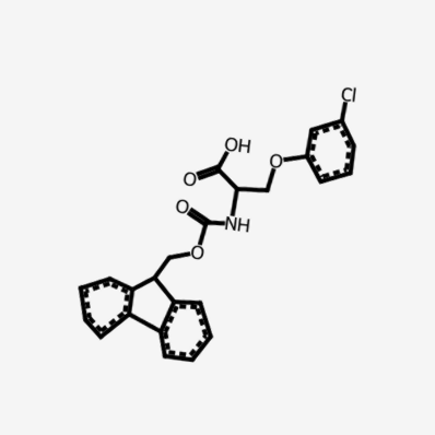 O=C(NC(COc1cccc(Cl)c1)C(=O)O)OCC1c2ccccc2-c2ccccc21